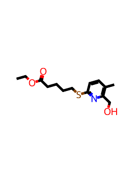 CCOC(=O)CCCCSc1ccc(C)c(CO)n1